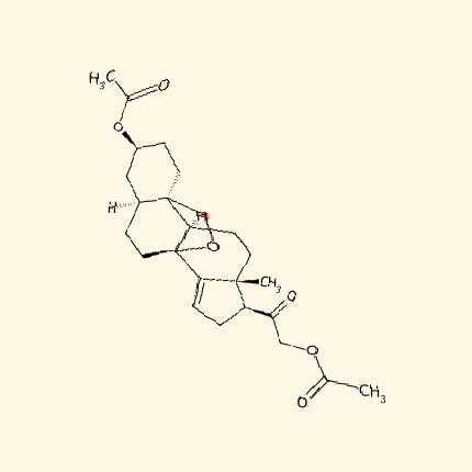 CC(=O)OCC(=O)[C@H]1CC=C2[C@]1(C)CC[C@@H]1[C@@]34CC[C@H](OC(C)=O)C[C@@H]3CC[C@@]21OC4